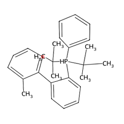 Cc1ccccc1-c1ccccc1[PH](c1ccccc1)(C(C)(C)C)C(C)(C)C